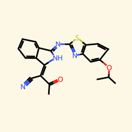 CC(=O)/C(C#N)=C1\N/C(=N\c2nc3cc(OC(C)C)ccc3s2)c2ccccc21